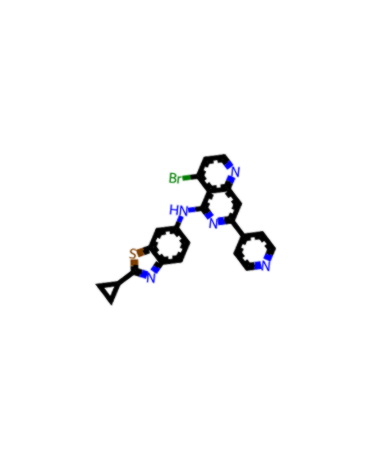 Brc1ccnc2cc(-c3ccncc3)nc(Nc3ccc4nc(C5CC5)sc4c3)c12